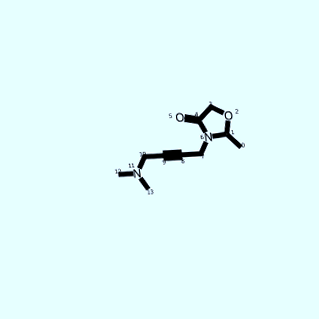 CC1OCC(=O)N1CC#CCN(C)C